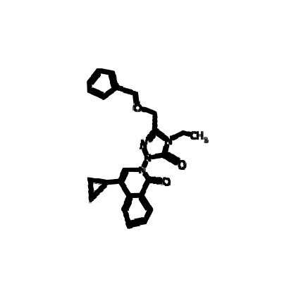 CCn1c(COCc2ccccc2)nn(-n2cc(C3CC3)c3ccccc3c2=O)c1=O